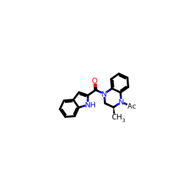 CC(=O)N1c2ccccc2N(C(=O)c2cc3ccccc3[nH]2)C[C@@H]1C